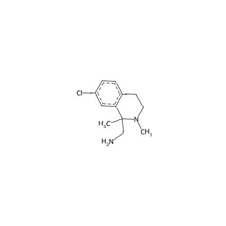 CN1CCc2ccc(Cl)cc2C1(C)CN